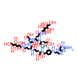 CC(=O)[C@@H](CCC(=O)O)NC(=O)[C@H](CCC(=O)NC[C@H](O)[C@@H](O)[C@H](O)[C@H](O)CO)NC(=O)[C@@H](CCC(=O)O)NC(=O)[C@H](CCC(=O)NC[C@H](O)[C@@H](O)[C@H](O)[C@H](O)CO)NC(=O)CC[C@H](NC(=O)c1ccc(NCc2cnc3nc(N)[nH]c(=O)c3n2)cc1)C(=O)O